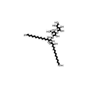 CCCCCCCCCCCCCCCCCCCCCC[C@@H](O)C(=O)N[C@@H](CO[C@H]1O[C@H](CO)[C@H](O)[C@H](O[C@@H]2O[C@@H]([C@H](O)CO)[C@H](O)[C@H]2O)[C@H]1O)[C@H](O)[C@H](O)CCCCCCCCCCCCC(C)C